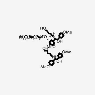 COc1ccc(C(O)C(NCCCCCO)c2ccc(OC)cc2)cc1.COc1ccc(C(O)C(NCCCCCO)c2ccc(OC)cc2)cc1.O.O=C(O)C=CC(=O)O.O=C(O)C=CC(=O)O